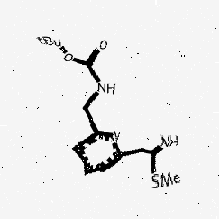 CSC(=N)c1cccc(CNC(=O)OC(C)(C)C)n1